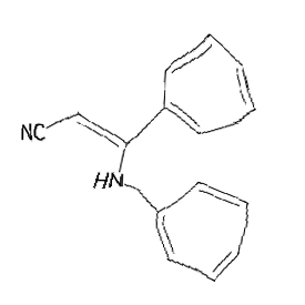 N#C/C=C(\Nc1ccccc1)c1ccccc1